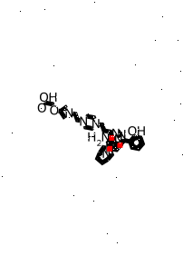 Nc1nnc(-c2ccccc2O)cc1N1CC2CCC(C1)N2c1ccnc(CCCN2CCN(CCN3CC(OCC(=O)O)C3)CC2)c1